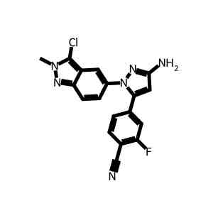 Cn1nc2ccc(-n3nc(N)cc3-c3ccc(C#N)c(F)c3)cc2c1Cl